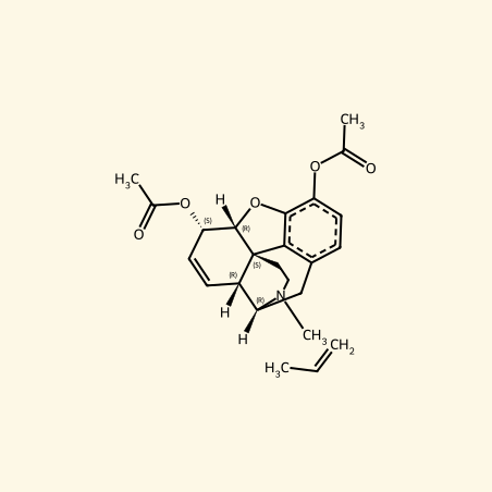 C=CC.CC(=O)Oc1ccc2c3c1O[C@H]1[C@@H](OC(C)=O)C=C[C@H]4[C@@H](C2)N(C)CC[C@@]341